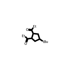 CCC(=O)C1CC(C(C)(C)C)CC1C(=O)CC